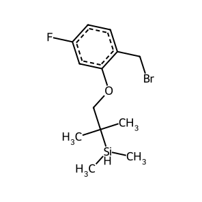 C[SiH](C)C(C)(C)COc1cc(F)ccc1CBr